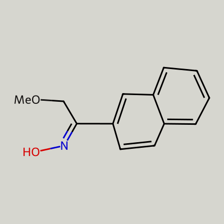 COCC(=NO)c1ccc2ccccc2c1